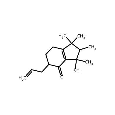 C=CCC1CCC2=C(C1=O)C(C)(C)C(C)C2(C)C